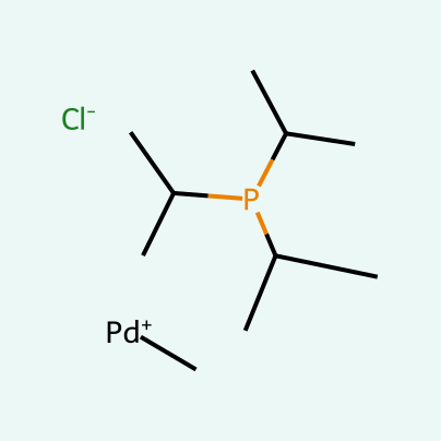 CC(C)P(C(C)C)C(C)C.[CH3][Pd+].[Cl-]